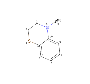 CCCN1CCSc2ccccc21